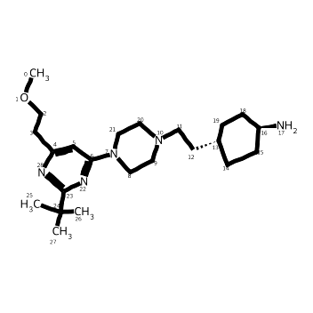 COCCc1cc(N2CCN(CC[C@H]3CC[C@H](N)CC3)CC2)nc(C(C)(C)C)n1